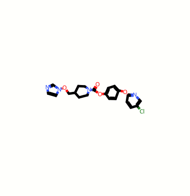 O=C(Oc1ccc(Oc2ccc(Cl)cn2)cc1)N1CCC(COn2ccnc2)CC1